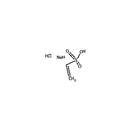 C=CS(=O)(=O)O.Cl.[NaH]